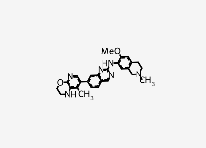 COc1cc2c(cc1Nc1ncc3ccc(-c4cnc5c(c4C)NCCO5)cc3n1)CN(C)CC2